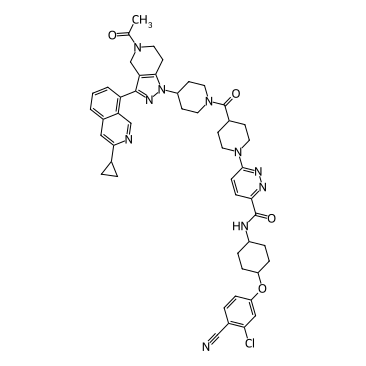 CC(=O)N1CCc2c(c(-c3cccc4cc(C5CC5)ncc34)nn2C2CCN(C(=O)C3CCN(c4ccc(C(=O)NC5CCC(Oc6ccc(C#N)c(Cl)c6)CC5)nn4)CC3)CC2)C1